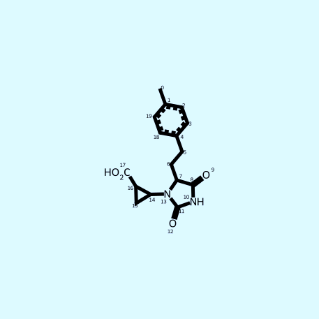 Cc1ccc(CCC2C(=O)NC(=O)N2C2CC2C(=O)O)cc1